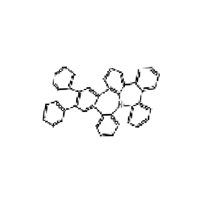 c1ccc(-c2cc3c(cc2-c2ccccc2)-c2cccc4c2N(c2ccccc2-c2ccccc2-4)c2ccccc2-3)cc1